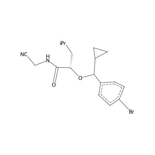 CC(C)C[C@H](OC(c1ccc(Br)cc1)C1CC1)C(=O)NCC#N